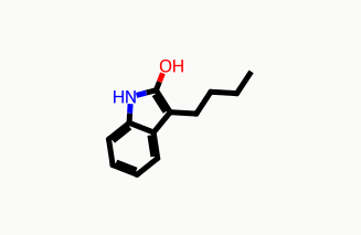 CCCCc1c(O)[nH]c2ccccc12